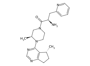 C[C@@H]1CCc2ncnc(N3CCN(C(=O)[C@H](N)Cc4ccccn4)C[C@@H]3C)c21